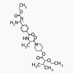 CCOC(=O)/N=C(\N)c1ccc(C(=O)NC(C)C(=O)N2CCC(OC(=O)C(OCC)C(C)C)CC2)cc1